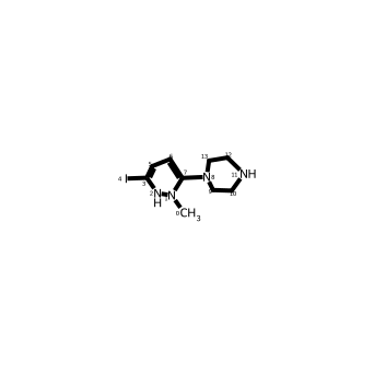 CN1NC(I)=CC=C1N1CCNCC1